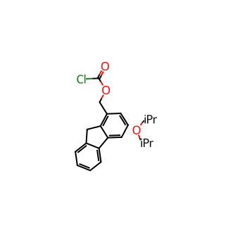 CC(C)OC(C)C.O=C(Cl)OCc1cccc2c1Cc1ccccc1-2